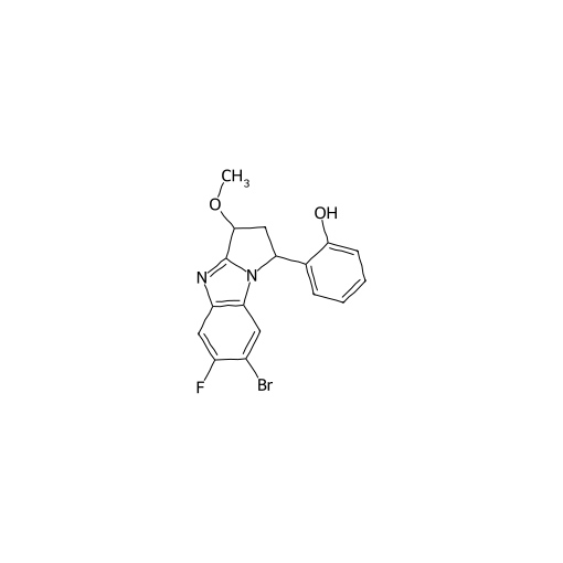 COC1CC(c2ccccc2O)n2c1nc1cc(F)c(Br)cc12